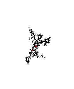 CC(C)[C@H](NC(=O)OCc1ccccc1)C(=O)N(c1ccc(C(=O)N(CCCNC(=O)OCC[Si](C)(C)C)[C@@H](c2cc(-c3cc(F)ccc3F)cn2Cc2ccccc2)C(C)(C)C)cc1)[C@@H](C)C(N)=O